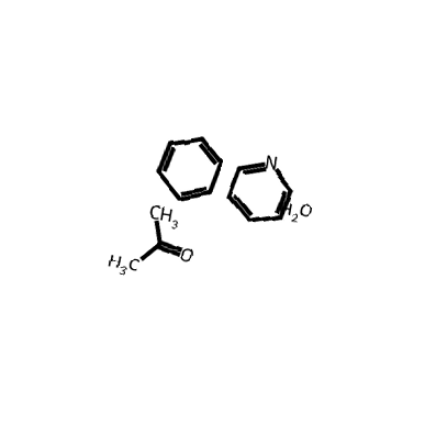 CC(C)=O.O.c1ccccc1.c1ccncc1